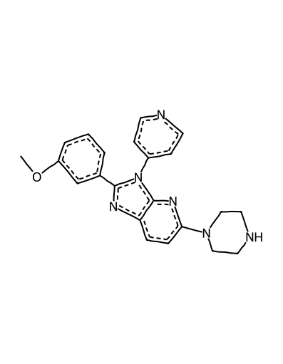 COc1cccc(-c2nc3ccc(N4CCNCC4)nc3n2-c2ccncc2)c1